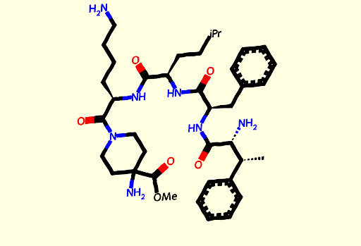 COC(=O)C1(N)CCN(C(=O)[C@@H](CCCCN)NC(=O)[C@@H](CCC(C)C)NC(=O)[C@@H](Cc2ccccc2)NC(=O)[C@H](N)[C@H](C)c2ccccc2)CC1